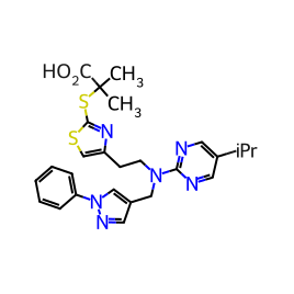 CC(C)c1cnc(N(CCc2csc(SC(C)(C)C(=O)O)n2)Cc2cnn(-c3ccccc3)c2)nc1